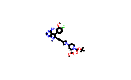 COC(=O)[C@@H]1CC(N2CC(C#Cc3c(-c4ccc(Cl)c(OC)c4)c4c(N)ncnc4n3C)C2)CCN1C(=O)OC(C)(C)C